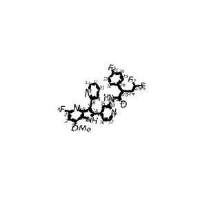 COc1cc(F)nc2c(-c3ccccn3)c(-c3ccnc(NC(=O)C(CC(F)F)c4ccc(F)cc4)c3)[nH]c12